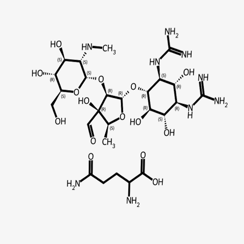 CN[C@@H]1[C@H](O[C@H]2[C@H](O[C@H]3[C@H](O)[C@@H](O)[C@H](NC(=N)N)[C@@H](O)[C@@H]3NC(=N)N)O[C@@H](C)[C@]2(O)C=O)O[C@@H](CO)[C@H](O)[C@H]1O.NC(=O)CCC(N)C(=O)O